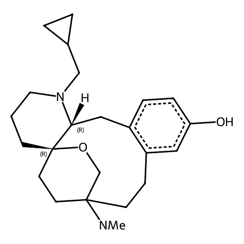 CNC12CCc3cc(O)ccc3C[C@H]3N(CC4CC4)CCC[C@]3(CC1)OC2